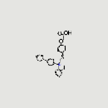 O=C(O)COc1ccc(SC/C=C(\c2ccc(-c3ccccc3)cc2)c2ccccc2I)cc1